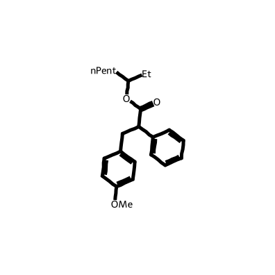 CCCCCC(CC)OC(=O)C(Cc1ccc(OC)cc1)c1ccccc1